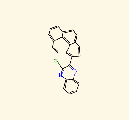 Clc1nc2ccccc2nc1-c1ccc2ccc3cccc4ccc1c2c34